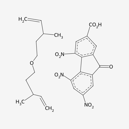 C=CC(C)CCOCCC(C)C=C.O=C(O)c1cc2c(c([N+](=O)[O-])c1)-c1c(cc([N+](=O)[O-])cc1[N+](=O)[O-])C2=O